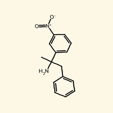 CC(N)(Cc1ccccc1)c1cccc([N+](=O)[O-])c1